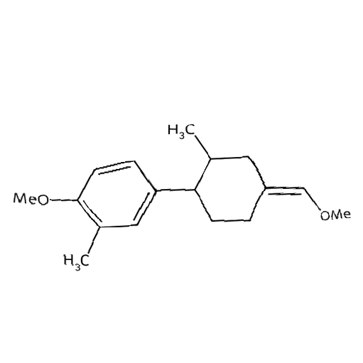 COC=C1CCC(c2ccc(OC)c(C)c2)C(C)C1